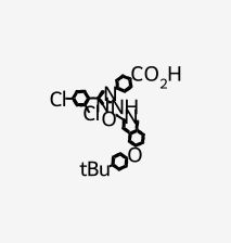 CC(C)(C)c1ccc(Oc2ccc3cnc(C(=O)Nc4nc(-c5ccc(Cl)cc5Cl)cn4-c4ccc(C(=O)O)cc4)cc3c2)cc1